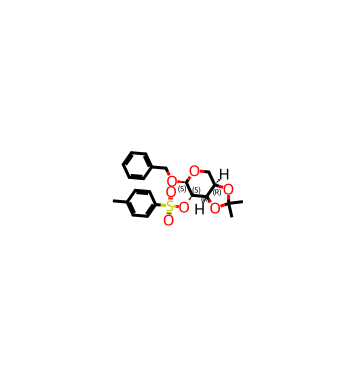 Cc1ccc(S(=O)(=O)O[C@@H]2[C@@H](OCc3ccccc3)OC[C@H]3OC(C)(C)O[C@@H]23)cc1